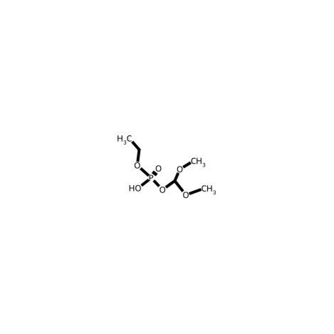 CCOP(=O)(O)OC(OC)OC